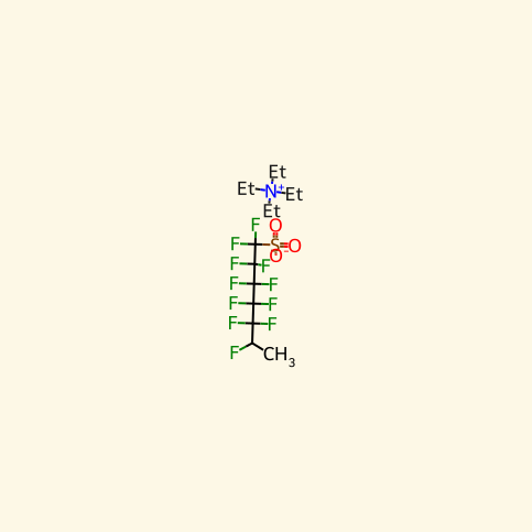 CC(F)C(F)(F)C(F)(F)C(F)(F)C(F)(F)C(F)(F)S(=O)(=O)[O-].CC[N+](CC)(CC)CC